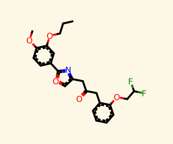 CCCOc1cc(-c2nc(CC(=O)Cc3ccccc3OCC(F)F)co2)ccc1OC